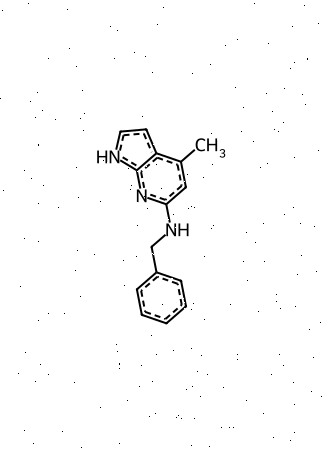 Cc1cc(NCc2ccccc2)nc2[nH]ccc12